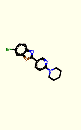 Brc1ccc2nc(-c3ccc(N4CCCCC4)nc3)sc2c1